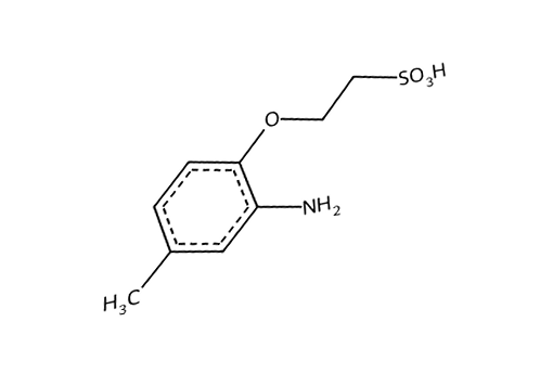 Cc1ccc(OCCS(=O)(=O)O)c(N)c1